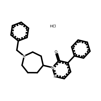 Cl.O=c1c(-c2ccccc2)ccnn1C1CCCN(Cc2ccccc2)CC1